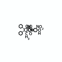 CC12C(c3ccccc3)=C(c3ccccc3)C(C)(C1O)C1(Br)C(=O)N(c3ccc(O)c([N+](=O)[O-])c3)C(=O)C21